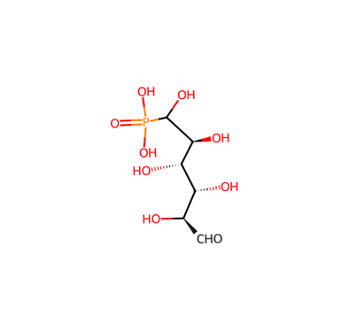 O=C[C@@H](O)[C@@H](O)[C@H](O)[C@H](O)C(O)P(=O)(O)O